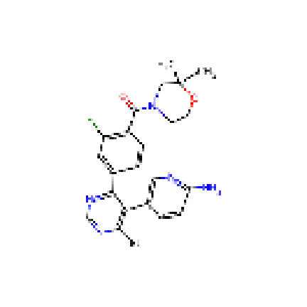 CCc1ncnc(-c2ccc(C(=O)N3CCOC(C)(C)C3)c(F)c2)c1-c1ccc(N)nc1